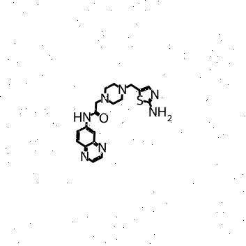 Nc1ncc(CN2CCN(CC(=O)Nc3ccc4nccnc4c3)CC2)s1